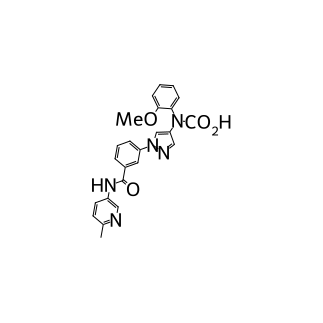 COc1ccccc1N(C(=O)O)c1cnn(-c2cccc(C(=O)Nc3ccc(C)nc3)c2)c1